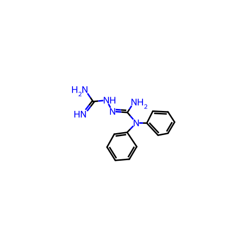 N=C(N)NN=C(N)N(c1ccccc1)c1ccccc1